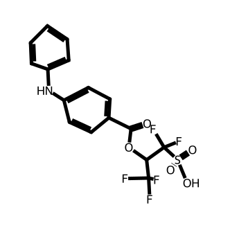 O=C(OC(C(F)(F)F)C(F)(F)S(=O)(=O)O)c1ccc(Nc2ccccc2)cc1